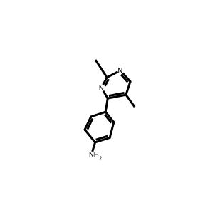 Cc1ncc(C)c(-c2ccc(N)cc2)n1